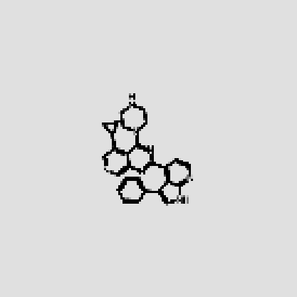 c1ccc(-c2c[nH]c3nccc(-c4nc(N5CCNCC5)c5c(C6CC6)cncc5n4)c23)cc1